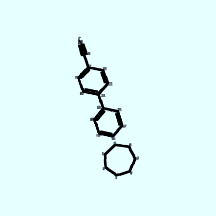 C1CCCCCC1.N#Cc1ccc(-c2ccccc2)cc1